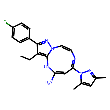 CCc1c(-c2ccc(F)cc2)nn2ccnc(-n3nc(C)cc3C)cc(N)[nH]c12